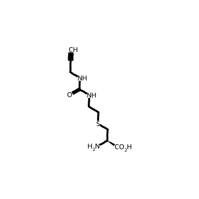 C#CCNC(=O)NCCSC[C@H](N)C(=O)O